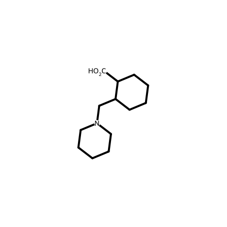 O=C(O)C1CCCCC1CN1CCCCC1